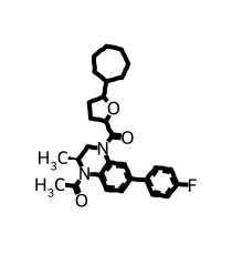 CC(=O)N1c2ccc(-c3ccc(F)cc3)cc2N(C(=O)C2CCC(C3CCCCCC3)O2)C[C@@H]1C